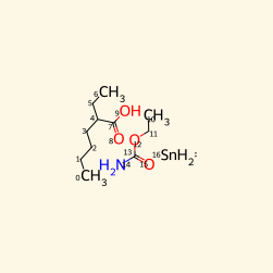 CCCCC(CC)C(=O)O.CCOC(N)=O.[SnH2]